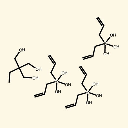 C=CCP(O)(O)(O)CC=C.C=CCP(O)(O)(O)CC=C.C=CCP(O)(O)(O)CC=C.CCC(CO)(CO)CO